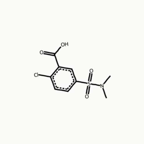 CN(C)S(=O)(=O)c1ccc(Cl)c(C(=O)O)c1